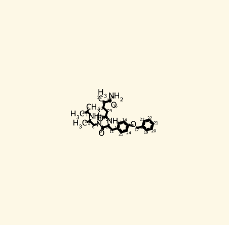 CC(C)NC(C)CNC(=O)C(Cc1ccc(OCc2ccccc2)cc1)NC(=O)[CH]CC(C)C(N)=O